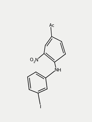 CC(=O)c1ccc(Nc2cccc(I)c2)c([N+](=O)[O-])c1